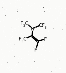 FC(F)=C(N(C(F)(F)F)C(F)(F)F)C(F)(F)F